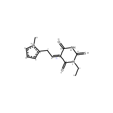 CCN1C(=O)/C(=C/Cc2cccn2C)C(=O)NC1=S